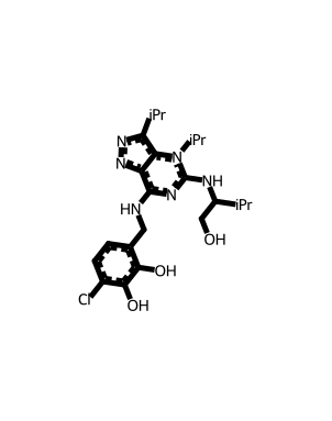 CC(C)c1nnc2c(NCc3ccc(Cl)c(O)c3O)nc(NC(CO)C(C)C)n(C(C)C)c1-2